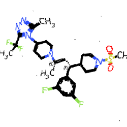 Cc1nnc(C(C)(F)F)n1C1CCN([C@@H](C)C[C@@H](c2cc(F)cc(F)c2)C2CCN(S(C)(=O)=O)CC2)CC1